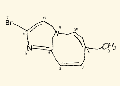 Cc1ccc2nc(Br)cn2c1